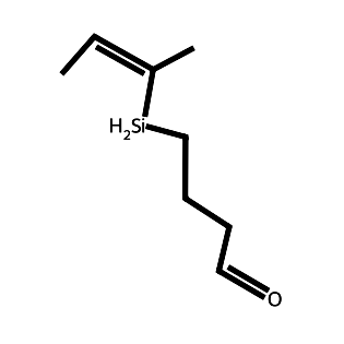 CC=C(C)[SiH2]CCCC=O